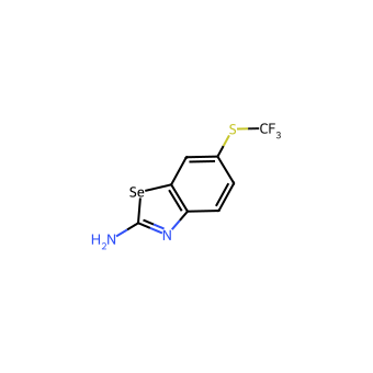 Nc1nc2ccc(SC(F)(F)F)cc2[se]1